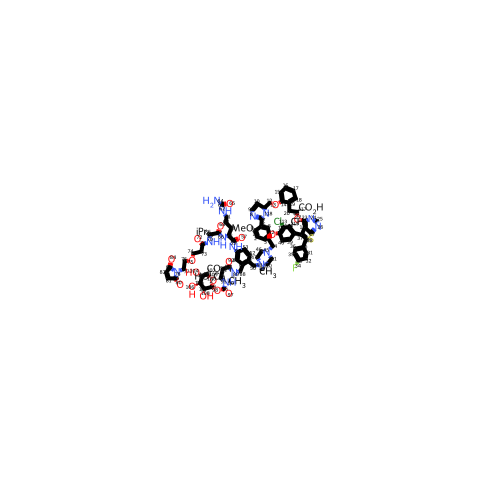 COc1ccccc1-c1nccc(COc2ccccc2C[C@@H](Oc2ncnc3sc(-c4ccc(F)cc4)c(-c4ccc(OCCN5CC[N+](C)(Cc6ccc(NC(=O)C(CCCNC(N)=O)NC(=O)C(NC(=O)CCOCCN7C(=O)C=CC7=O)C(C)C)cc6CN(C)C(=O)C[C@H](NC(=O)OC6O[C@H](C(=O)O)[C@@H](O)[C@H](O)[C@H]6O)C(=O)O)CC5)c(Cl)c4C)c23)C(=O)O)n1